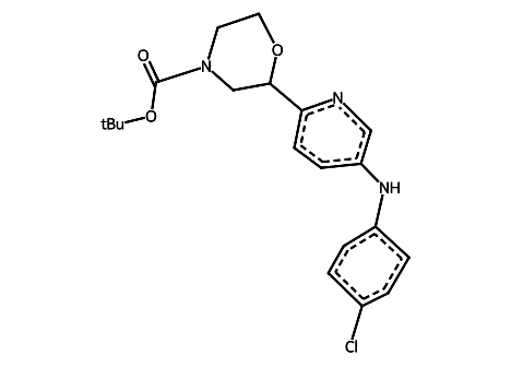 CC(C)(C)OC(=O)N1CCOC(c2ccc(Nc3ccc(Cl)cc3)cn2)C1